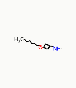 CCCCCCCCOc1ccc(C[NH])cc1